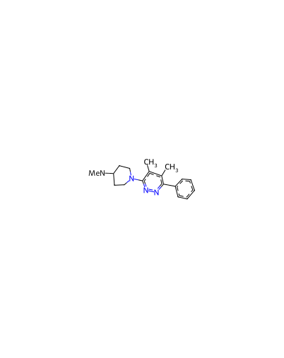 CNC1CCN(c2nnc(-c3ccccc3)c(C)c2C)CC1